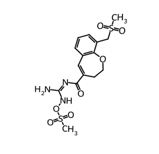 CS(=O)(=O)Cc1cccc2c1OCCC(C(=O)N=C(N)NOS(C)(=O)=O)=C2